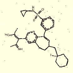 CC(=N)/C(=C(/C)O)c1cnc2c(c1)CCC(CC1(F)CCCCC1)C=C2c1cccc(S(=O)(=O)NC2CC2)c1